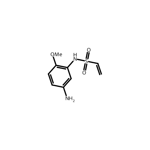 C=CS(=O)(=O)Nc1cc(N)ccc1OC